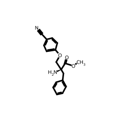 COC(=O)[C@@](N)(COc1ccc(C#N)cc1)Cc1ccccc1